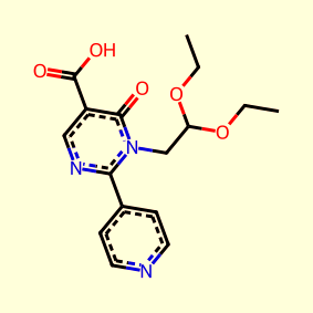 CCOC(Cn1c(-c2ccncc2)ncc(C(=O)O)c1=O)OCC